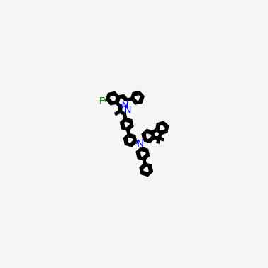 Cc1c(-c2ccc(-c3cccc(N(c4ccc(-c5ccccc5)cc4)c4ccc5c(c4)C(C)(C)c4ccccc4-5)c3)cc2)nn2c(-c3ccccc3)cc3ccc(F)cc3c12